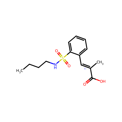 CCCCNS(=O)(=O)c1ccccc1/C=C(\C)C(=O)O